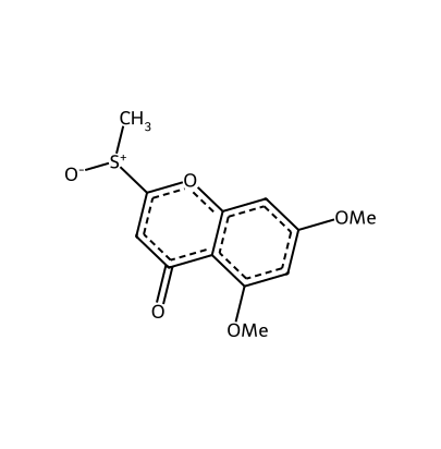 COc1cc(OC)c2c(=O)cc([S+](C)[O-])oc2c1